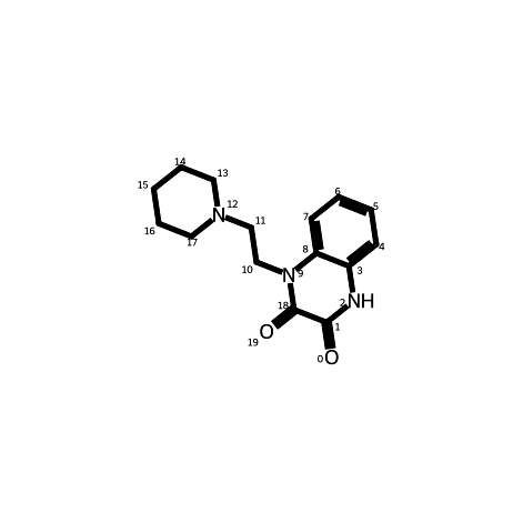 O=c1[nH]c2ccccc2n(CCN2CCCCC2)c1=O